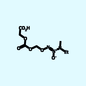 CCN(C)[N+]([O-])=NOCOC(=O)OCC(=O)O